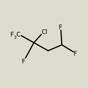 FC(F)CC(F)(Cl)C(F)(F)F